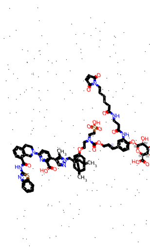 Cc1c(-c2ccc(N3CCc4cccc(C(=O)Nc5nc6ccccc6s5)c4C3)nc2C(=O)O)cnn1CC12CC3(C)CC(C)(C1)CC(OCCN(CCS(=O)(=O)O)C(=O)OC/C=C/c1ccc(O[C@@H]4O[C@H](C(=O)O)[C@@H](O)[C@H](O)[C@H]4O)c(NC(=O)CCNC(=O)CCCCCN4C(=O)C=CC4=O)c1)(C3)C2